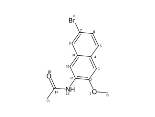 COc1cc2ccc(Br)cc2cc1NC(C)=O